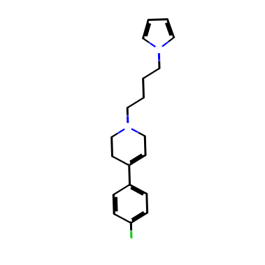 Cl.Clc1ccc(C2=CCN(CCCCn3cccc3)CC2)cc1